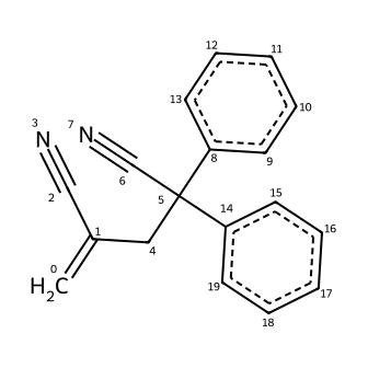 C=C(C#N)CC(C#N)(c1ccccc1)c1ccccc1